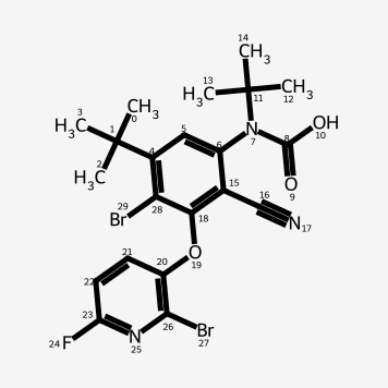 CC(C)(C)c1cc(N(C(=O)O)C(C)(C)C)c(C#N)c(Oc2ccc(F)nc2Br)c1Br